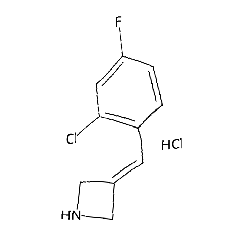 Cl.Fc1ccc(C=C2CNC2)c(Cl)c1